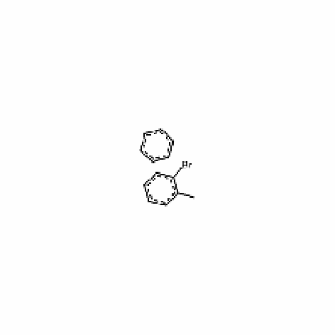 Cc1ccccc1Br.c1ccccc1